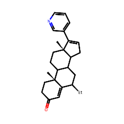 CCC1CC2C(CC[C@]3(C)C(c4cccnc4)=CCC23)[C@@]2(C)CCC(=O)C=C12